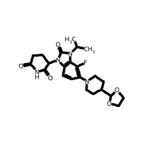 CC(C)n1c(=O)n(C2CCC(=O)NC2=O)c2ccc(N3CCC(C4OCCO4)CC3)c(F)c21